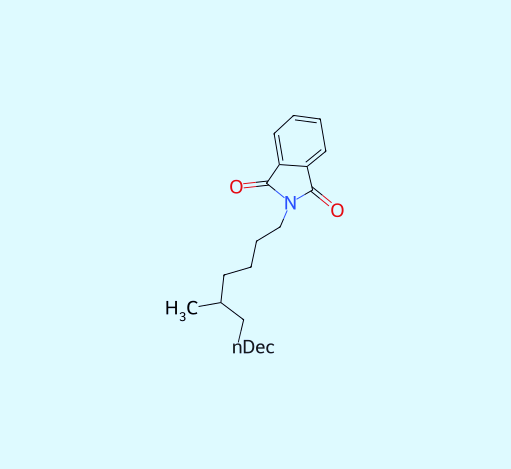 CCCCCCCCCCCC(C)CCCCN1C(=O)c2ccccc2C1=O